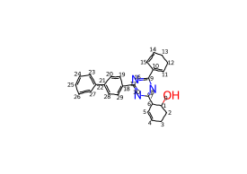 OC1CCC=CC1c1nc(C2=CCCC=C2)nc(-c2ccc(-c3ccccc3)cc2)n1